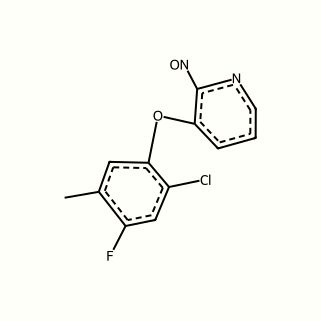 Cc1cc(Oc2cccnc2N=O)c(Cl)cc1F